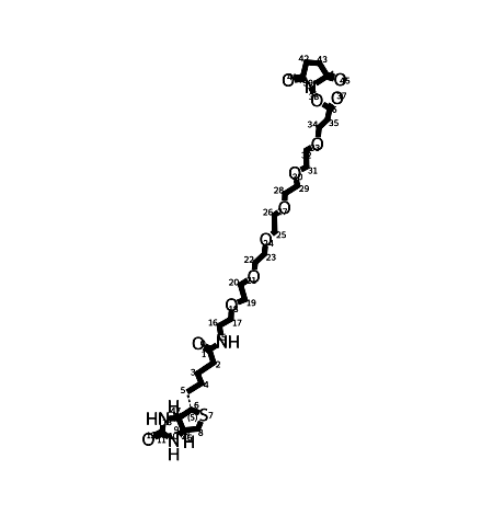 O=C(CCCC[C@@H]1SC[C@@H]2NC(=O)N[C@@H]21)NCCOCCOCCOCCOCCOCCOCCC(=O)ON1C(=O)CCC1=O